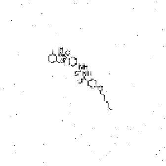 CCCCCCOc1ccc(C(=O)NC(=S)Nc2ccc(S(=O)(=O)Nc3c(C)cccc3C)cc2)cc1